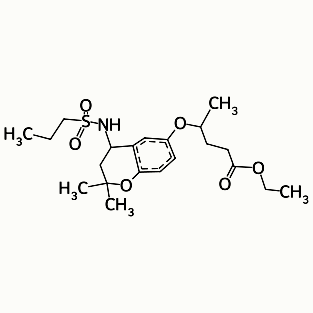 CCCS(=O)(=O)NC1CC(C)(C)Oc2ccc(OC(C)CCC(=O)OCC)cc21